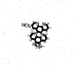 [Fe+2].[N-]=C=S.[N-]=C=S.c1cnc2c(c1)ccc1cccnc12.c1cnc2c(c1)ccc1cccnc12